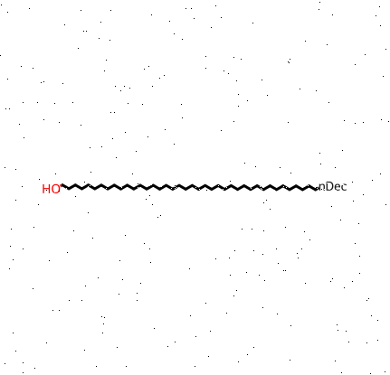 [CH2]CCCCCCCCCCCCCCCCCCCCCCCCCCCCCCCCCCCCCCCCCCCCCCCCCO